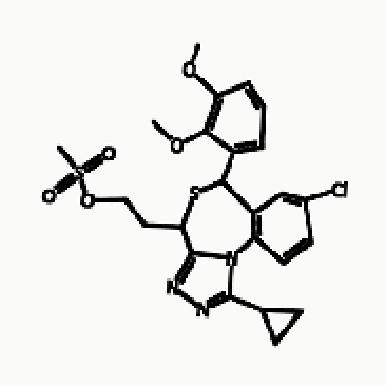 COc1cccc(C2SC(CCOS(C)(=O)=O)c3nnc(C4CC4)n3-c3ccc(Cl)cc32)c1OC